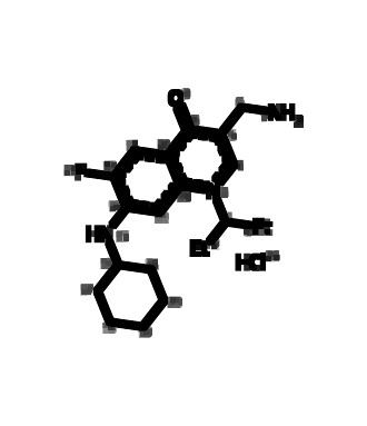 CCC(CC)n1cc(CN)c(=O)c2cc(F)c(NC3CCCCC3)cc21.Cl